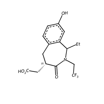 CCC1c2cc(O)ccc2C[C@@H](CC(=O)O)C(=O)N1CC(F)(F)F